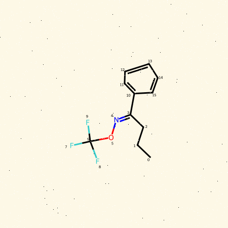 CCC/C(=N\OC(F)(F)F)c1ccccc1